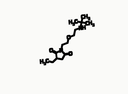 CCC1CC(=O)N(CCOCCNC(C)(C)C)C1=O